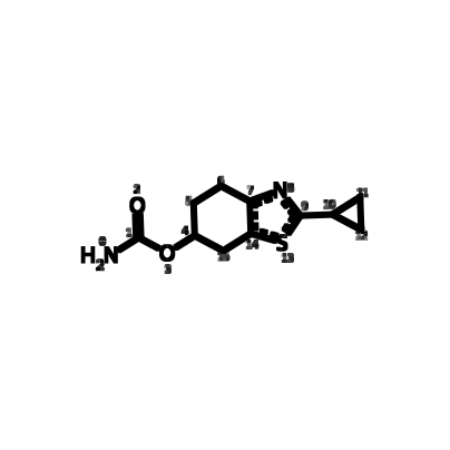 NC(=O)OC1CCc2nc(C3CC3)sc2C1